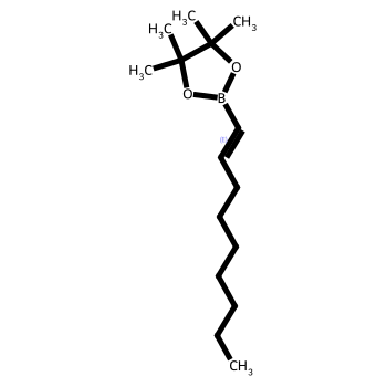 CCCCCCC/C=C/B1OC(C)(C)C(C)(C)O1